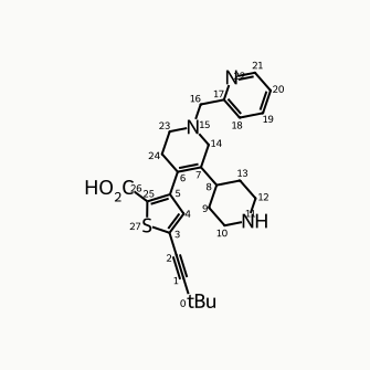 CC(C)(C)C#Cc1cc(C2=C(C3CCNCC3)CN(Cc3ccccn3)CC2)c(C(=O)O)s1